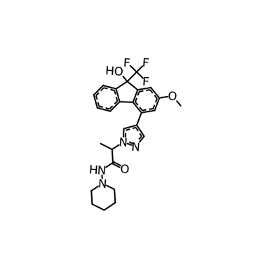 COc1cc(-c2cnn(C(C)C(=O)NN3CCCCC3)c2)c2c(c1)C(O)(C(F)(F)F)c1ccccc1-2